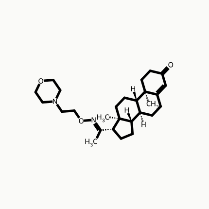 CC(=NOCCN1CCOCC1)[C@H]1CC[C@H]2[C@@H]3CCC4=CC(=O)CC[C@]4(C)[C@H]3CC[C@]12C